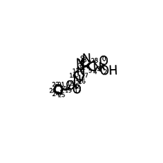 O=C(O)N1CCc2c(ncnc2N2CCN(C(=O)OCc3ccccc3)CC2)C1